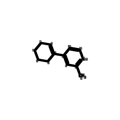 Cc1cc(C2=CCCCC2)ccn1